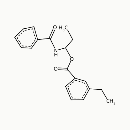 CCc1cccc(C(=O)OC(CC)NC(=O)c2ccccc2)c1